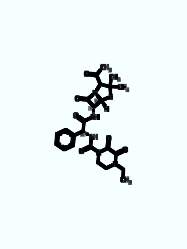 CCN1CCN(C(=O)N[C@@H](C(=O)N[C@@H]2C(=O)N3C(C(C)=O)C(C)(C)S[C@H]23)c2ccccc2)C(=O)C1=O